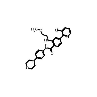 COCCNc1cc(-c2ncccc2Cl)ccc1C(=O)Nc1ccc(N2CCOCC2)cc1